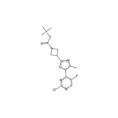 Cc1nc(C2CN(C(=O)OC(C)(C)C)C2)sc1-c1nc(Cl)ncc1F